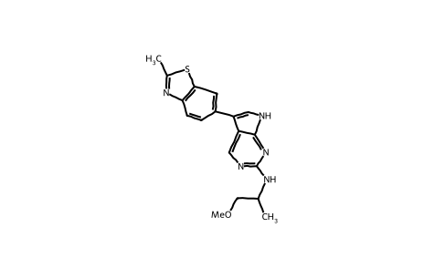 COCC(C)Nc1ncc2c(-c3ccc4nc(C)sc4c3)c[nH]c2n1